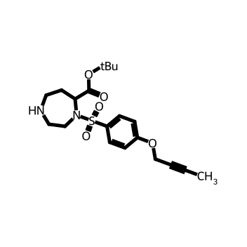 CC#CCOc1ccc(S(=O)(=O)N2CCNCCC2C(=O)OC(C)(C)C)cc1